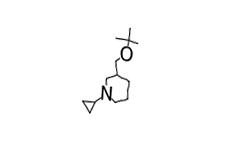 CC(C)(C)OCC1CCCN(C2CC2)C1